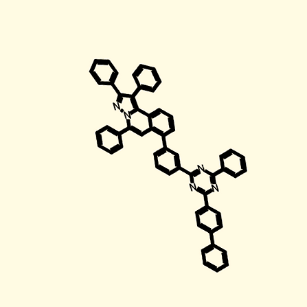 c1ccc(-c2ccc(-c3nc(-c4ccccc4)nc(-c4cccc(-c5cccc6c5cc(-c5ccccc5)n5nc(-c7ccccc7)c(-c7ccccc7)c65)c4)n3)cc2)cc1